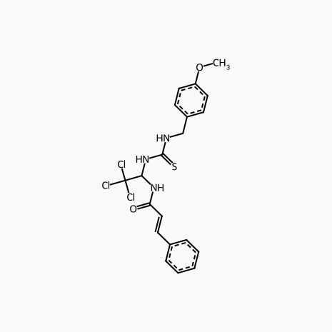 COc1ccc(CNC(=S)NC(NC(=O)/C=C/c2ccccc2)C(Cl)(Cl)Cl)cc1